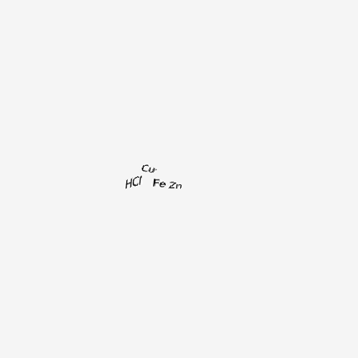 Cl.[Cu].[Fe].[Zn]